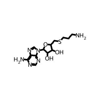 NCCCSCC1OC(n2cnc3c(N)ncnc32)C(O)C1O